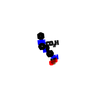 CS(=O)(=O)CNc1ccc(-c2cc(C(=O)O)c3c(ccc4nn(-c5ccccc5)nc43)n2)cc1